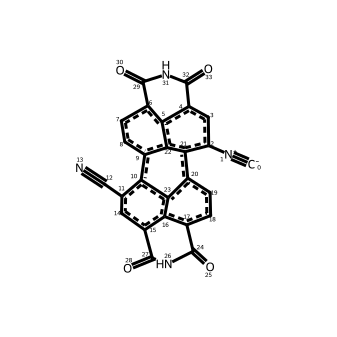 [C-]#[N+]c1cc2c3c(ccc4c5c(C#N)cc6c7c(ccc(c1c34)c75)C(=O)NC6=O)C(=O)NC2=O